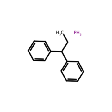 CCC(c1ccccc1)c1ccccc1.P